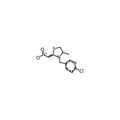 CC1CS/C(=C\[N+](=O)[O-])N1Cc1ccc(Cl)nc1